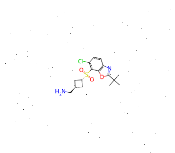 CC(C)(C)c1nc2ccc(Cl)c(S(=O)(=O)[C@H]3C[C@H](CN)C3)c2o1